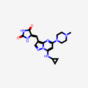 CN1CCN(c2cc(NC3CC3)n3ncc(C=C4NC(=O)NC4=O)c3n2)CC1